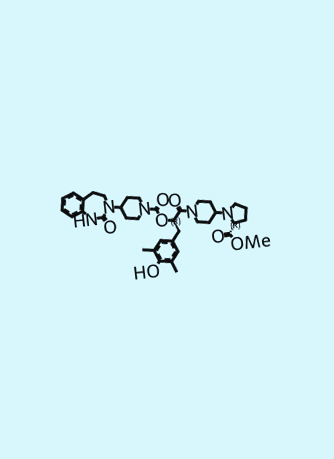 COC(=O)[C@H]1CCCN1C1CCN(C(=O)[C@@H](Cc2cc(C)c(O)c(C)c2)OC(=O)N2CCC(N3CCc4ccccc4NC3=O)CC2)CC1